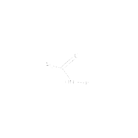 CC(=O)C(=O)NC(C)C